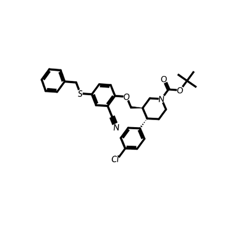 CC(C)(C)OC(=O)N1CC[C@H](c2ccc(Cl)cc2)[C@@H](COc2ccc(SCc3ccccc3)cc2C#N)C1